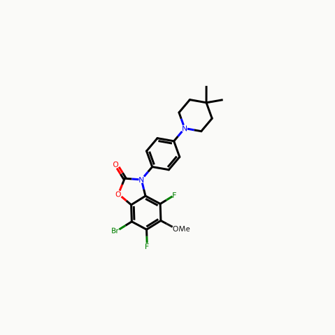 COc1c(F)c(Br)c2oc(=O)n(-c3ccc(N4CCC(C)(C)CC4)cc3)c2c1F